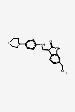 NCc1ccc2c(c1)NC(=O)C2=CNc1ccc(N2CCOCC2)cc1